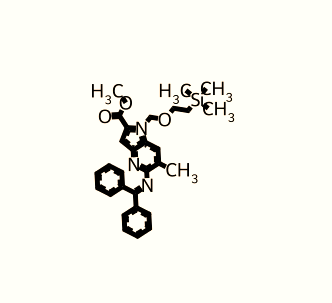 COC(=O)c1cc2nc(N=C(c3ccccc3)c3ccccc3)c(C)cc2n1COCC[Si](C)(C)C